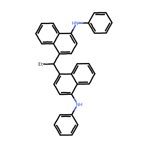 CCC(c1ccc(Nc2ccccc2)c2ccccc12)c1ccc(Nc2ccccc2)c2ccccc12